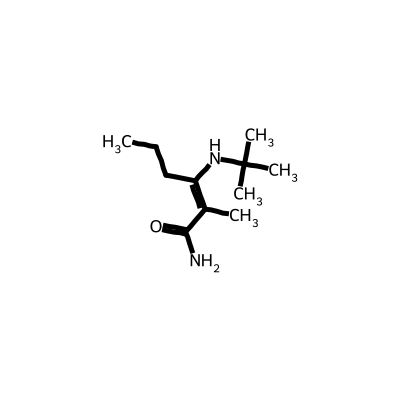 CCCC(NC(C)(C)C)=C(C)C(N)=O